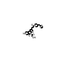 O=C(/C=C/c1cnc2c(c1)CC1(CCNCC1)C(=O)N2C(=O)CO)N1CCC(=Cc2nccs2)CC1